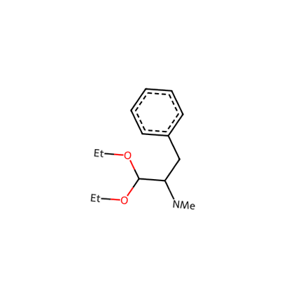 CCOC(OCC)C(Cc1ccccc1)NC